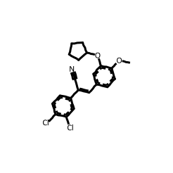 COc1ccc(/C=C(\C#N)c2ccc(Cl)c(Cl)c2)cc1OC1CCCC1